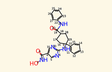 O=C(NO)c1cnc(NC2(c3ccccc3)CCC(C(=O)Nc3ccccc3)CC2)nc1